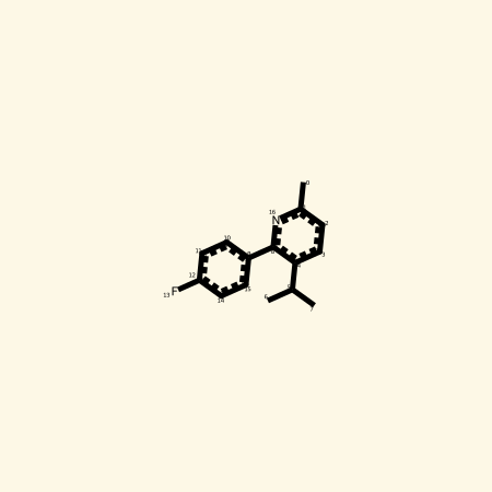 Cc1ccc(C(C)C)c(-c2ccc(F)cc2)n1